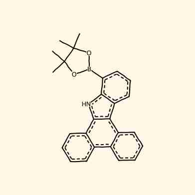 CC1(C)OB(c2cccc3c2[nH]c2c4ccccc4c4ccccc4c32)OC1(C)C